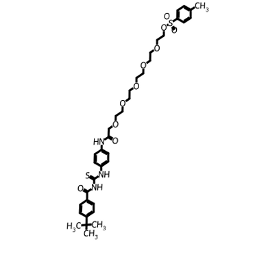 Cc1ccc(S(=O)(=O)OCCOCCOCCOCCOCCOCC(=O)Nc2ccc(NC(=S)NC(=O)c3ccc(C(C)(C)C)cc3)cc2)cc1